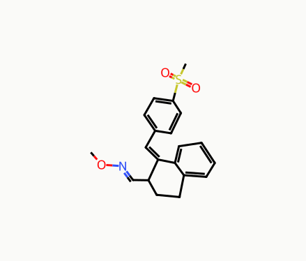 CON=CC1CCc2ccccc2C1=Cc1ccc(S(C)(=O)=O)cc1